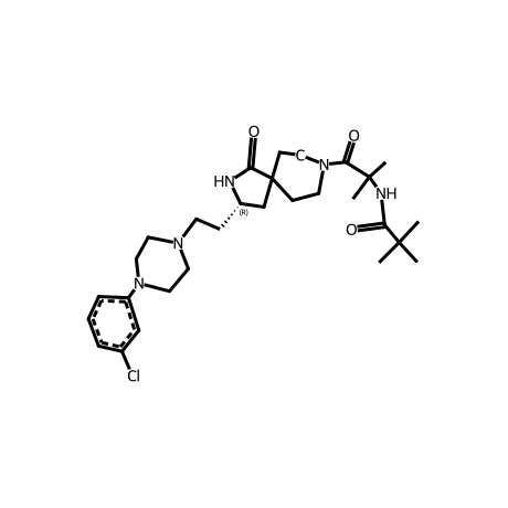 CC(C)(C)C(=O)NC(C)(C)C(=O)N1CCC2(CC1)C[C@H](CCN1CCN(c3cccc(Cl)c3)CC1)NC2=O